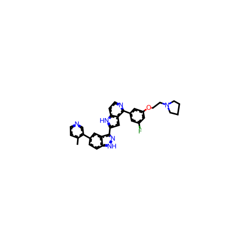 Cc1ccncc1-c1ccc2[nH]nc(-c3cc4c(-c5cc(F)cc(OCCN6CCCC6)c5)nccc4[nH]3)c2c1